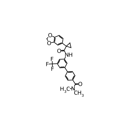 CN(C)C(=O)c1ccc(-c2cc(NC(=O)C3(c4ccc5c(c4)OCO5)CC3)cc(C(F)(F)F)c2)cc1